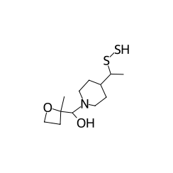 CC(SS)C1CCN(C(O)C2(C)CCO2)CC1